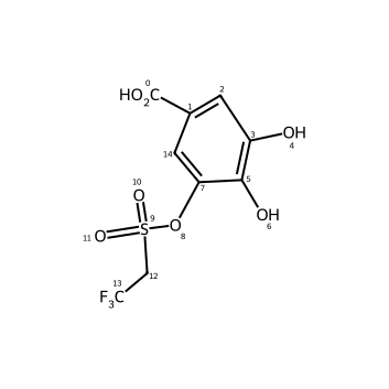 O=C(O)c1cc(O)c(O)c(OS(=O)(=O)CC(F)(F)F)c1